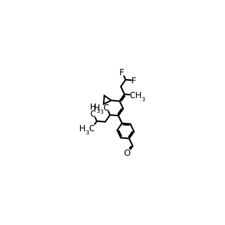 C/C(CC(F)F)=C(\C=C(\c1ccc(C=O)cc1)C(C)CC(C)C)C1CC1